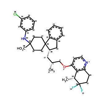 C[C@@H](COc1ccnc2c1[C@@H](C)C(F)(F)CC2)C[C@H]1Cc2ccccc2C12CCC(Nc1cccc(Cl)c1)(C(=O)O)CC2